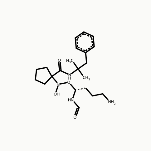 CC(C)(Cc1ccccc1)NC(=O)C1(B(O)O[C@H](CCCN)NC=O)CCCC1